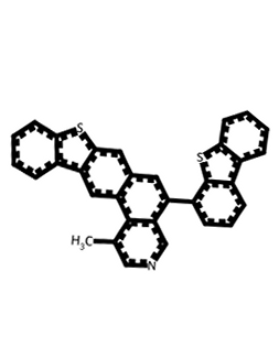 Cc1cncc2c(-c3cccc4c3sc3ccccc34)cc3cc4sc5ccccc5c4cc3c12